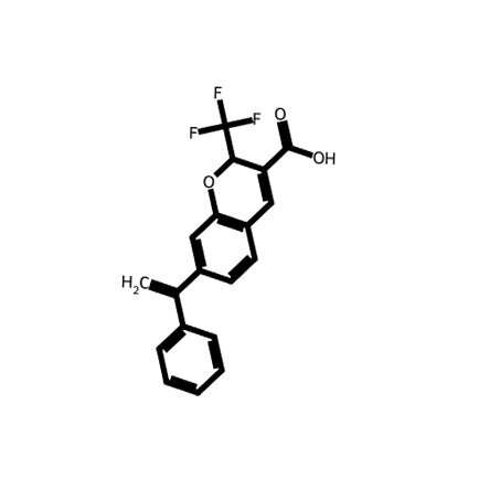 C=C(c1ccccc1)c1ccc2c(c1)OC(C(F)(F)F)C(C(=O)O)=C2